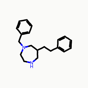 c1ccc(CCC2CNCCN(Cc3ccccc3)C2)cc1